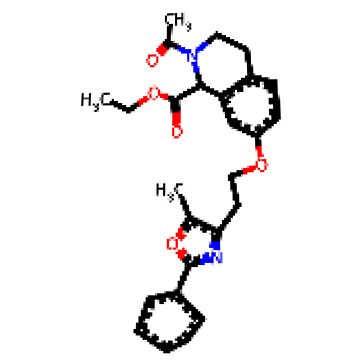 CCOC(=O)C1c2cc(OCCc3nc(-c4ccccc4)oc3C)ccc2CCN1C(C)=O